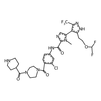 Cn1c(-c2c(C(F)(F)F)n[nH]c2CCOC(F)F)cnc1C(=O)Nc1ccc(C(=O)N2CCN(C(=O)C3CCNCC3)CC2)c(Cl)c1